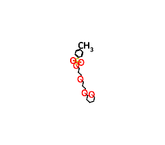 Cc1ccc(S(=O)(=O)OCCCOCCCOC2CCCCO2)cc1